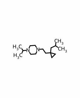 CC(C)CC1(CCN2CCN(C(C)C)CC2)CC1